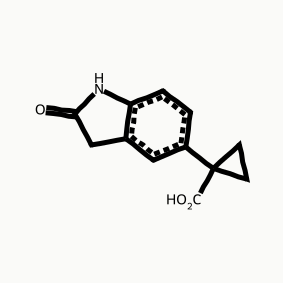 O=C1Cc2cc(C3(C(=O)O)CC3)ccc2N1